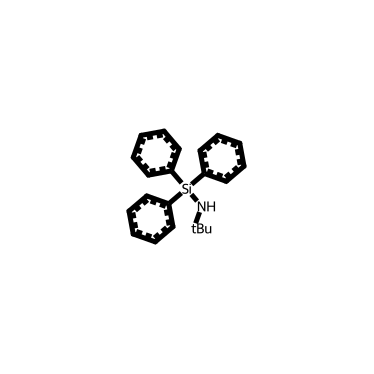 CC(C)(C)N[Si](c1ccccc1)(c1ccccc1)c1ccccc1